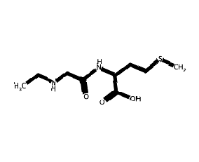 CCNCC(=O)NC(CCSC)C(=O)O